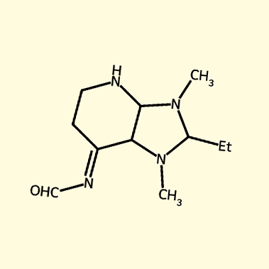 CCC1N(C)C2NCC/C(=N\C=O)C2N1C